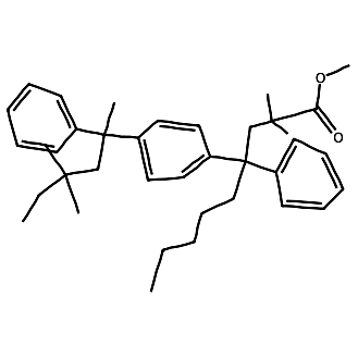 CCCCCC(CC(C)(C)C(=O)OC)(c1ccccc1)c1ccc(C(C)(CC(C)(C)CC)c2ccccc2)cc1